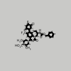 C[C@@H]1CN(c2nc(=O)n3c4c(c(-c5cc(Cl)c(F)cc5F)c(C(F)(F)F)cc24)SC[C@@H](NC(=O)OCc2ccccc2)C3)C[C@H](C)N1C(=O)O